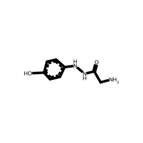 NCC(=O)NNc1ccc(O)cc1